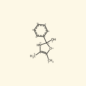 CC1=C(C)OC(O)(c2ccccc2)N1